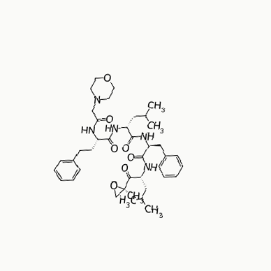 CC(C)C[C@@H](NC(=O)[C@H](CCc1ccccc1)NC(=O)CN1CCOCC1)C(=O)N[C@@H](Cc1ccccc1)C(=O)N[C@H](CC(C)C)C(=O)[C@@]1(C)CO1